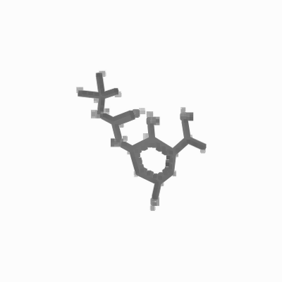 CC(O)c1cc(Cl)cc(NC(=O)NC(C)(C)C)c1O